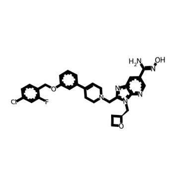 N/C(=N\O)c1cnc2c(c1)nc(CN1CC=C(c3cccc(OCc4ccc(Cl)cc4F)c3)CC1)n2C[C@@H]1CCO1